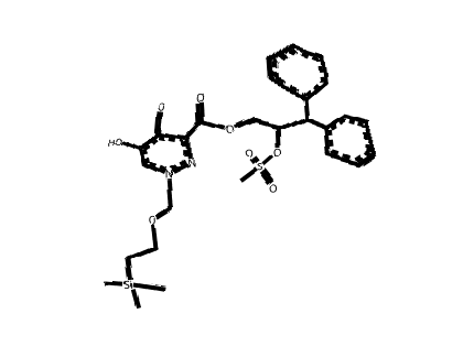 C[Si](C)(C)CCOCn1cc(O)c(=O)c(C(=O)OCC(OS(C)(=O)=O)C(c2ccccc2)c2ccccc2)n1